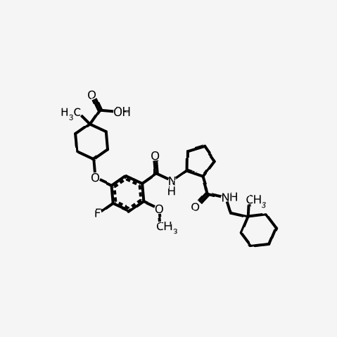 COc1cc(F)c(OC2CCC(C)(C(=O)O)CC2)cc1C(=O)NC1CCCC1C(=O)NCC1(C)CCCCC1